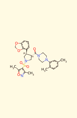 Cc1ccc(C)c(N2CCN(C(=O)[C@@H]3CN(S(=O)(=O)c4c(C)noc4C)C[C@H]3c3cccc4c3OCO4)CC2)c1